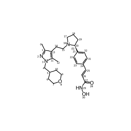 Cc1nn(CC2CCOCC2)c(C)c1CCN1CCC[C@H]1c1ccc(C=CC(=O)NO)cc1